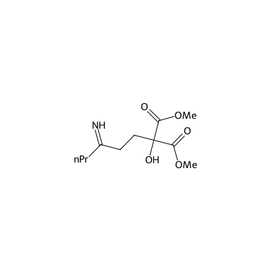 CCCC(=N)CCC(O)(C(=O)OC)C(=O)OC